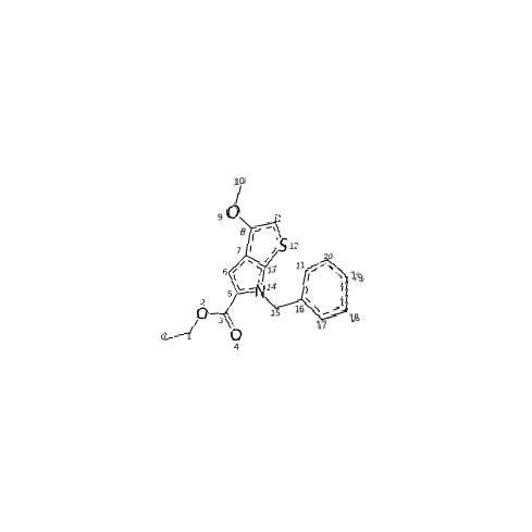 CCOC(=O)c1cc2c(OC)csc2n1Cc1ccccc1